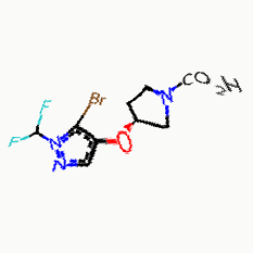 O=C(O)N1CC[C@H](Oc2cnn(C(F)F)c2Br)C1